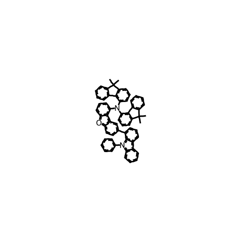 CC1(C)c2ccccc2-c2c(N(c3cccc4c3-c3ccccc3C4(C)C)c3cccc4oc5ccc(-c6cccc7c8ccccc8n(-c8ccccc8)c67)cc5c34)cccc21